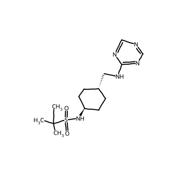 CC(C)(C)S(=O)(=O)N[C@H]1CC[C@H](CNc2ncncn2)CC1